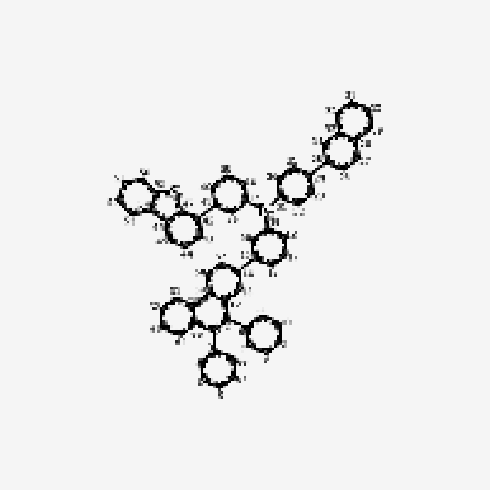 c1ccc(-c2c(-c3ccccc3)c3cc(-c4cccc(N(c5ccc(-c6ccc7ccccc7c6)cc5)c5cccc(-c6cccc7c6sc6ccccc67)c5)c4)ccc3c3ccccc23)cc1